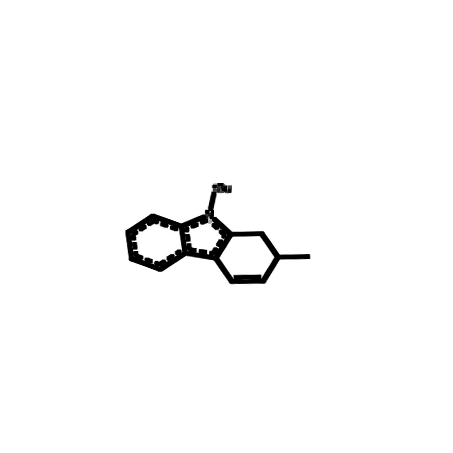 CC1C=Cc2c(n(C(C)(C)C)c3ccccc23)C1